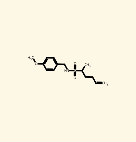 C=CCCC(C)S(=O)(=O)NCc1ccc(OC)cc1